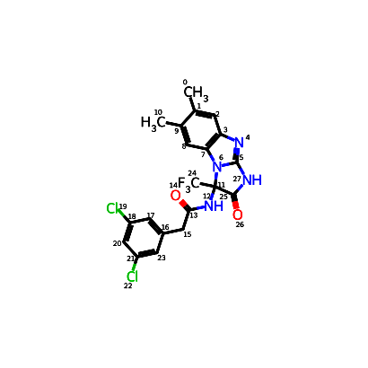 Cc1cc2nc3n(c2cc1C)C(NC(=O)Cc1cc(Cl)cc(Cl)c1)(C(F)(F)F)C(=O)N3